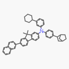 CC1(C)c2cc(-c3ccc4ccccc4c3)ccc2-c2ccc(N(c3ccc(C4CC5CCC4C5)cc3)c3cccc(C4CCCCC4)c3)cc21